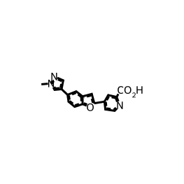 Cn1cc(-c2ccc3oc(-c4ccnc(C(=O)O)c4)cc3c2)cn1